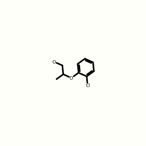 CC(C[O])Oc1ccccc1Cl